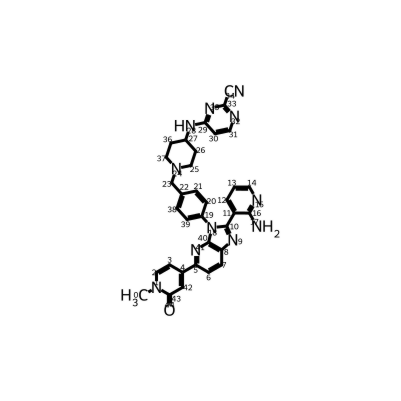 Cn1ccc(-c2ccc3nc(-c4cccnc4N)n(-c4ccc(CN5CCC(Nc6ccnc(C#N)n6)CC5)cc4)c3n2)cc1=O